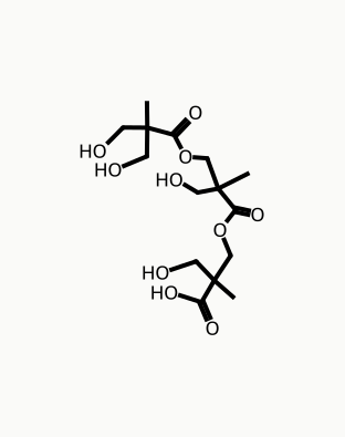 CC(CO)(COC(=O)C(C)(CO)COC(=O)C(C)(CO)CO)C(=O)O